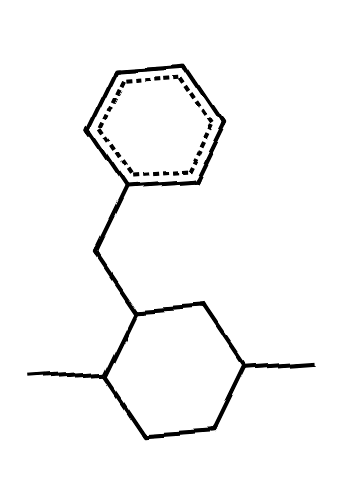 CC1CCC(C)C(Cc2ccccc2)C1